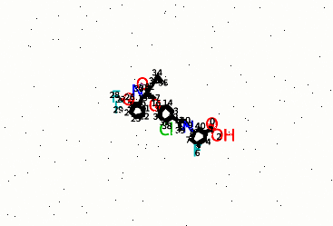 O=C(O)c1cc(F)cc(N2CC(c3ccc(OCc4c(-c5ccccc5OC(F)F)noc4C4CC4)cc3Cl)C2)c1